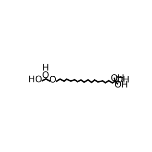 OCC(O)COCCCCCCCCCCCCCCCCCC(O)(O)O